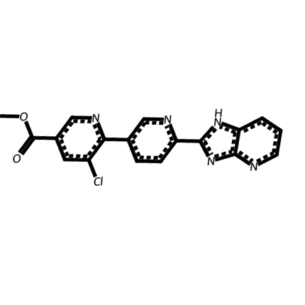 COC(=O)c1cnc(-c2ccc(-c3nc4ncccc4[nH]3)nc2)c(Cl)c1